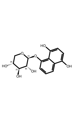 Oc1ccc(O)c2c(O[C@@H]3OC[C@@H](O)[C@H](O)[C@H]3O)cccc12